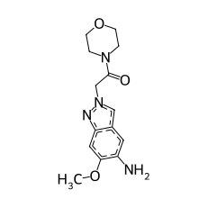 COc1cc2nn(CC(=O)N3CCOCC3)cc2cc1N